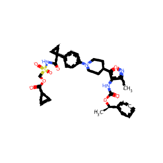 Cc1noc(C2CCN(c3ccc(C4(C(=O)NS(=O)(=O)COC(=O)C5CC5)CC4)cc3)CC2)c1NC(=O)O[C@H](C)c1ccccc1